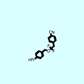 CCCc1ccc(COC(F)(F)Cc2ccc(C#N)cc2)cc1